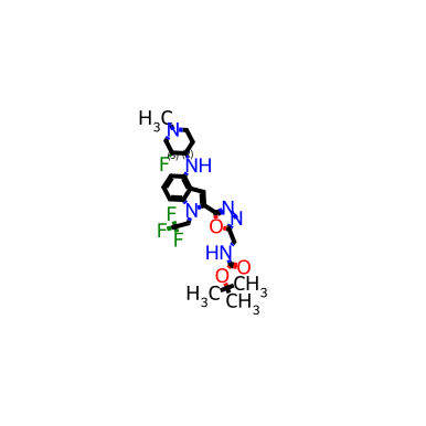 CN1CC[C@@H](Nc2cccc3c2cc(-c2nnc(CNC(=O)OC(C)(C)C)o2)n3CC(F)(F)F)[C@@H](F)C1